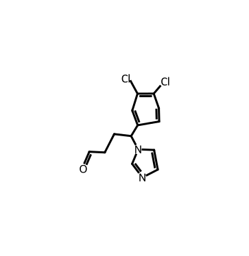 O=CCCC(c1ccc(Cl)c(Cl)c1)n1ccnc1